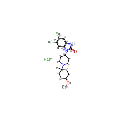 CCOC1CCC(C)(N2CCC(n3c(=O)[nH]c4cc(F)c(F)cc43)CC2)CC1.Cl